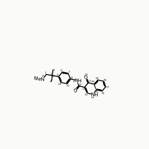 CNCC(C)(C)c1ccc(NC(=O)c2c[nH]c3ccccc3c2=O)cc1